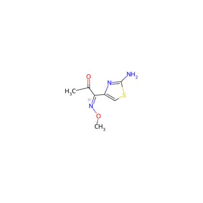 CO/N=C(/C(C)=O)c1csc(N)n1